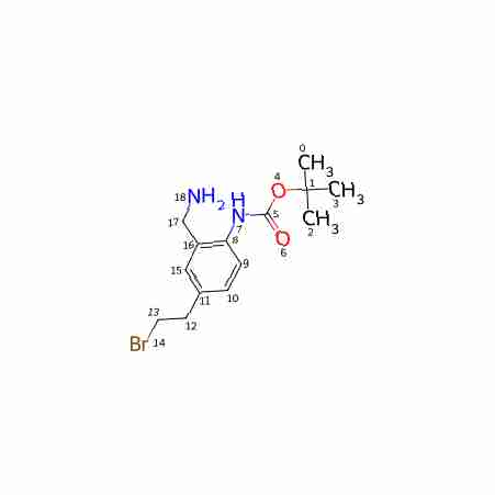 CC(C)(C)OC(=O)Nc1ccc(CCBr)cc1CN